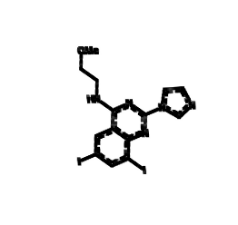 COCCNc1nc(-n2ccnc2)nc2c(I)cc(I)cc12